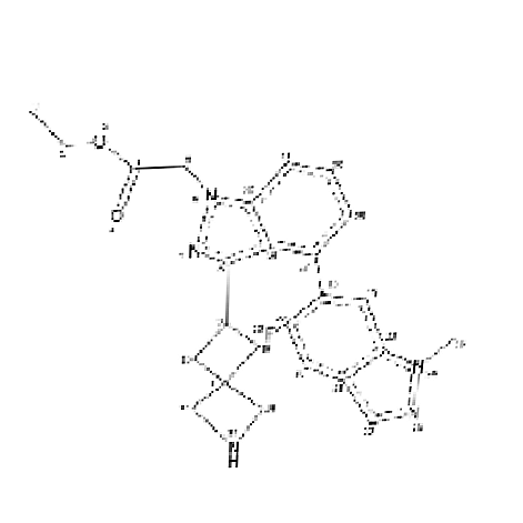 CCOC(=O)Cn1nc(C2CC3(CNC3)C2)c2c(-c3cc4c(cnn4C)cc3F)cccc21